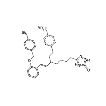 CC(C)(C)c1ccc(COc2ccccc2C=CC(CCCCc2n[nH]c(=O)[nH]2)CCc2ccc(C(=O)O)cc2)cc1